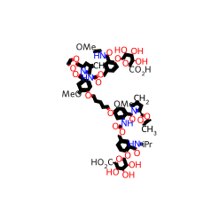 C=C1CC(C2OCCO2)N(C(=O)c2cc(OC)c(OCCCCCOc3cc(NC(=O)OCc4ccc(O[C@@H]5O[C@H](C(=O)O)[C@@H](O)[C@H](O)[C@H]5O)c(C(=O)NC(C)C)c4)c(C(=O)N4CC(=C)C[C@H]4C4OCC(C)O4)cc3OC)cc2NC(=O)OCc2ccc(O[C@@H]3O[C@H](C(=O)O)[C@@H](O)[C@H](O)[C@H]3O)c(C(=O)NCCOC)c2)C1